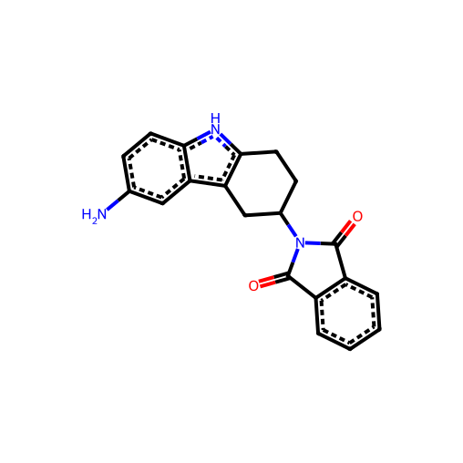 Nc1ccc2[nH]c3c(c2c1)CC(N1C(=O)c2ccccc2C1=O)CC3